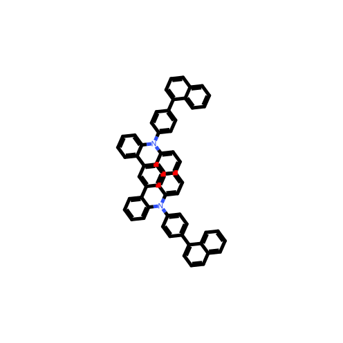 c1ccc(N(c2ccc(-c3cccc4ccccc34)cc2)c2ccccc2-c2cccc(-c3ccccc3N(c3ccccc3)c3ccc(-c4cccc5ccccc45)cc3)c2)cc1